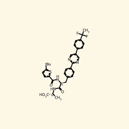 C[C@@H](NC(=O)[C@H](Cc1ccc(-c2ncc(-c3ccc(C(C)(F)F)cc3)cn2)cc1)NC(=O)c1ccc(C(C)(C)C)s1)C(=O)O